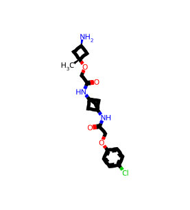 C[C@]1(OCC(=O)NC23CC(NC(=O)COc4ccc(Cl)cc4)(C2)C3)C[C@H](N)C1